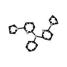 c1ccc(N(c2cccc(-n3cccc3)n2)c2cccc(-n3cccc3)n2)cc1